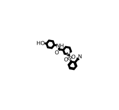 N#Cc1ccccc1S(=O)(=O)N1CCCC(C(=O)NC2CCC(O)CC2)C1